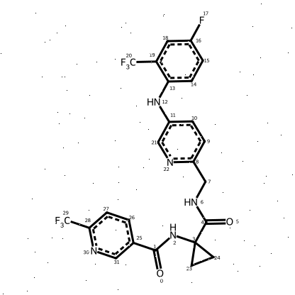 O=C(NC1(C(=O)NCc2ccc(Nc3ccc(F)cc3C(F)(F)F)cn2)CC1)c1ccc(C(F)(F)F)nc1